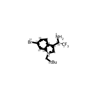 CC(C)(C)Cn1cc([C@H](N)C(F)(F)F)c2ccc(Br)cc21